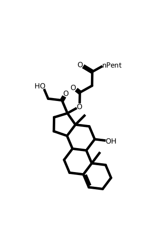 CCCCCC(=O)CC(=O)OC1(C(=O)CO)CCC2C3CCC4=CCCCC4(C)C3C(O)CC21C